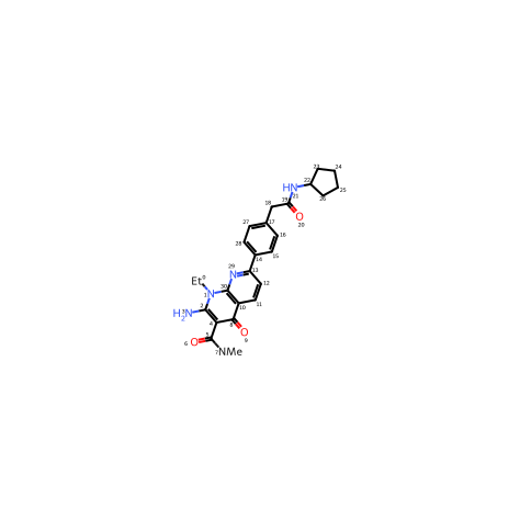 CCn1c(N)c(C(=O)NC)c(=O)c2ccc(-c3ccc(CC(=O)NC4CCCC4)cc3)nc21